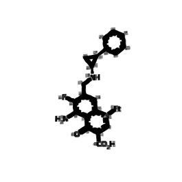 CCn1cc(C(=O)O)c(=O)c2c(N)c(F)c(CN[C@@H]3C[C@H]3c3ccccc3)cc21